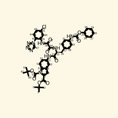 CC(C)(C)OC(=O)c1cc2cc(NC(=O)[C@H](Cc3ccc(NC(=O)Oc4ccccc4)cc3)NC(=O)C(=O)Nc3cc(Cl)ccc3-n3cnnn3)ccc2n1C(=O)OC(C)(C)C